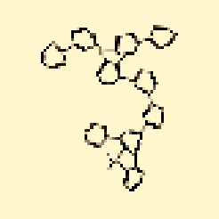 C[Si]1(C)c2ccccc2-c2nc(-c3cccc(-c4cccc(-c5cccc6c5c5cc(-c7ccccc7)ccc5n6-c5cccc(-c6ccccc6)c5)c4)c3)nc(-c3ccccc3)c21